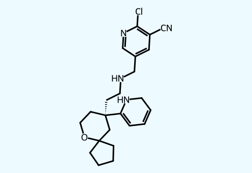 N#Cc1cc(CNCC[C@@]2(C3=CC=CCN3)CCOC3(CCCC3)C2)cnc1Cl